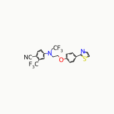 N#Cc1ccc(N(CCOc2ccc(-c3nccs3)cc2)CC(F)(F)F)cc1C(F)(F)F